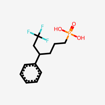 O=P(O)(O)CCCC(CC(F)(F)F)c1ccccc1